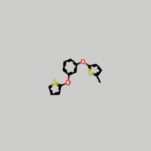 Cc1ccc(Oc2cccc(Oc3cccs3)c2)s1